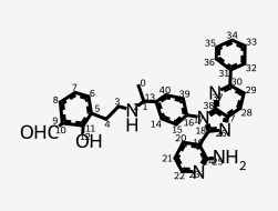 CC(NCCc1cccc(C=O)c1O)c1ccc(-n2c(-c3cccnc3N)nc3ccc(-c4ccccc4)nc32)cc1